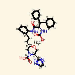 COC(=O)N[C@H](C(=O)Nc1ccccc1CC[C@@H]1CN(C(=O)O)[C@H](c2ncc[nH]2)CO1)C(c1ccccc1)c1ccccc1